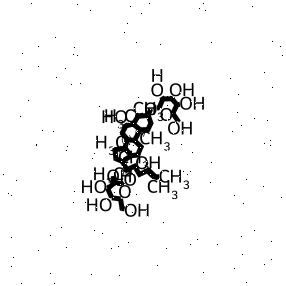 CC(C)=CCC[C@](C)(OC1OC(CO)C(O)C(O)C1O)C1CC[C@]2(C)C1C(O)CC1[C@@]3(C)CCC(OC4OC(CO)C(O)C(O)C4O)C(C)(C)C3C(O)C[C@]12C